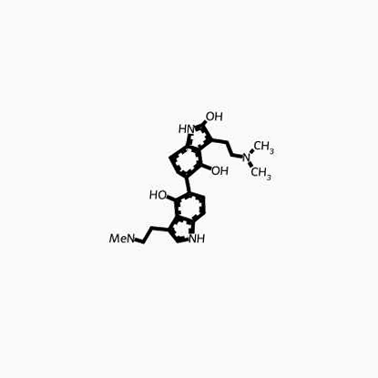 CNCCc1c[nH]c2ccc(-c3ccc4[nH]c(O)c(CCN(C)C)c4c3O)c(O)c12